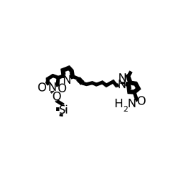 Cc1nn(CCCCCCCC#Cc2cccc(C3CCC(=O)N(COCC[Si](C)(C)C)C3=O)n2)c2cc(C(N)=O)ccc12